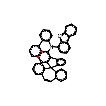 C1=Cc2ccccc2C2(c3ccccc31)c1ccccc1-c1c(N(c3ccccc3-c3ccccc3)c3cccc4c3oc3ccccc34)cccc12